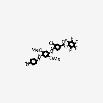 COc1cc(/N=N/c2ccc(C(=O)Oc3c(F)c(F)c(F)c(F)c3F)cc2Cl)c(OC)cc1/N=N/c1ccc(N(C)C)cc1